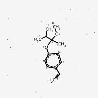 C=Cc1ccc(OC(C)(OC)C(C)C)cc1